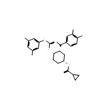 O=C(/N=C(/Nc1cc(F)cc(Cl)c1)N[C@H]1CC[C@H](NC(=O)C2CC2)CC1)c1ccc(F)c(F)c1